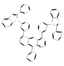 c1ccc(-c2c3cccc(-c4cccc(-n5c(-c6ccccc6)nc6ccccc65)c4)c3cc3c(-c4cccc(-n5c(-c6ccccc6)nc6ccccc65)c4)cccc23)cc1